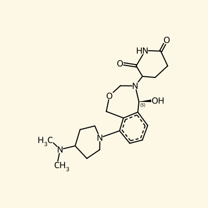 CN(C)C1CCN(c2cccc3c2COCN(C2CCC(=O)NC2=O)[C@H]3O)CC1